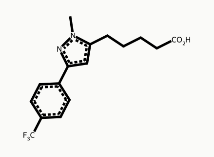 Cn1nc(-c2ccc(C(F)(F)F)cc2)cc1CCCCC(=O)O